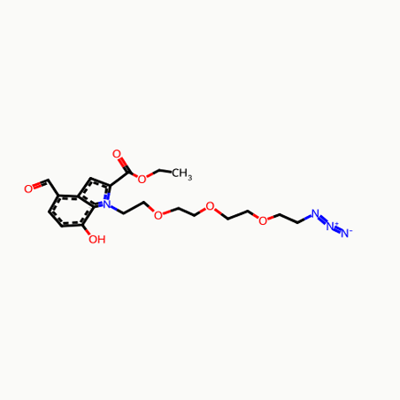 CCOC(=O)c1cc2c(C=O)ccc(O)c2n1CCOCCOCCOCCN=[N+]=[N-]